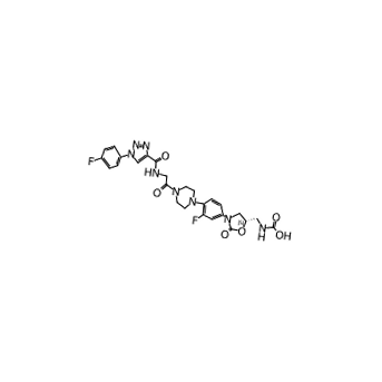 O=C(O)NC[C@H]1CN(c2ccc(N3CCN(C(=O)CNC(=O)c4cn(-c5ccc(F)cc5)nn4)CC3)c(F)c2)C(=O)O1